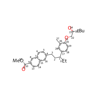 CCC(CCc1ccc2cc(C(=O)OC)ccc2c1)c1ccc(OCC(=O)C(C)(C)C)c(C)c1